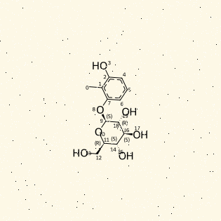 Cc1c(O)cccc1O[C@@H]1O[C@H](CO)[C@@H](O)[C@H](O)[C@H]1O